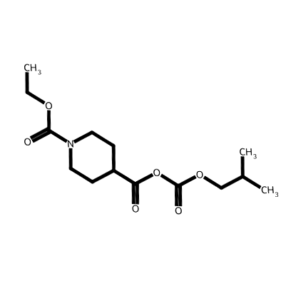 CCOC(=O)N1CCC(C(=O)OC(=O)OCC(C)C)CC1